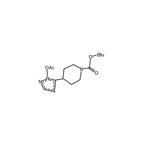 CC(=O)On1nccc1C1CCN(C(=O)OC(C)(C)C)CC1